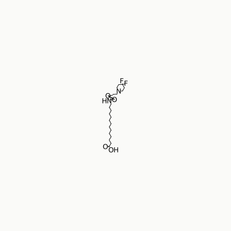 O=C(O)CCCCCCCCCCCCCNS(=O)(=O)CCN1CCC(F)(F)CC1